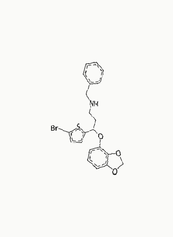 Brc1ccc(C(CCNCc2ccccc2)Oc2cccc3c2OCO3)s1